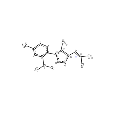 CC[S+]([O-])c1cc(C(F)(F)F)ccc1-n1nnc(/C=C(\Cl)C(F)(F)F)c1C